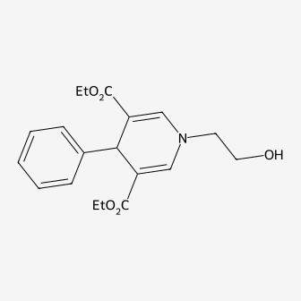 CCOC(=O)C1=CN(CCO)C=C(C(=O)OCC)C1c1ccccc1